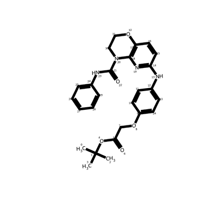 CC(C)(C)OC(=O)COc1ccc(Nc2ccc3c(n2)N(C(=O)Nc2ccccc2)CCO3)cc1